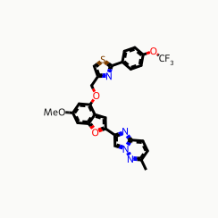 COc1cc(OCc2csc(-c3ccc(OC(F)(F)F)cc3)n2)c2cc(-c3cn4nc(C)ccc4n3)oc2c1